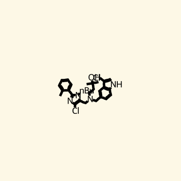 CCCCn1c(-c2ccccc2C)nc(Cl)c1CN(CCC(C)(C)O)Cc1ccc2[nH]cc(Cl)c2c1